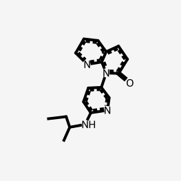 CCC(C)Nc1ccc(-n2c(=O)ccc3cccnc32)cn1